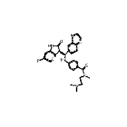 CN(C)CCN(C)C(=O)c1ccc(NC(=C2C(=O)Nc3cc(F)ccc32)c2ccc3nccnc3c2)cc1